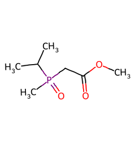 COC(=O)CP(C)(=O)C(C)C